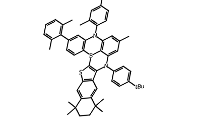 Cc1ccc(N2c3cc(-c4c(C)cccc4C)ccc3B3c4sc5cc6c(cc5c4N(c4ccc(C(C)(C)C)cc4)c4cc(C)cc2c43)C(C)(C)CCC6(C)C)c(C)c1